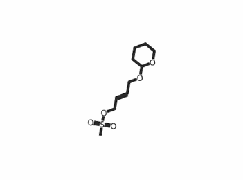 CS(=O)(=O)OCC=CCOC1CCCCO1